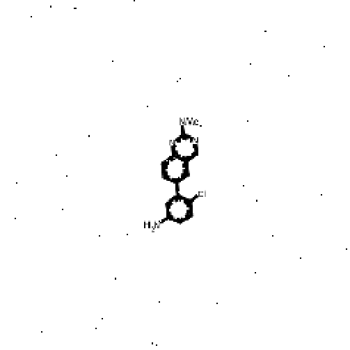 CNc1ncc2cc(-c3cc(N)ccc3Cl)ccc2n1